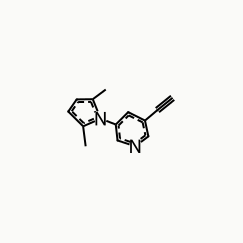 C#Cc1cncc(-n2c(C)ccc2C)c1